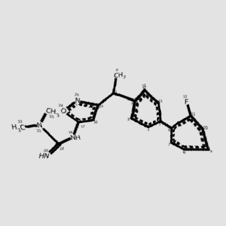 CC(c1ccc(-c2ccccc2F)cc1)c1cc(NC(=N)N(C)C)on1